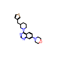 c1nc(N2CCCC(Cc3ccsc3)C2)c2ccc(N3CCOCC3)cc2n1